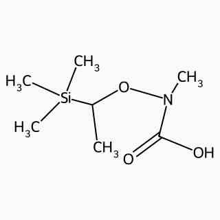 CC(ON(C)C(=O)O)[Si](C)(C)C